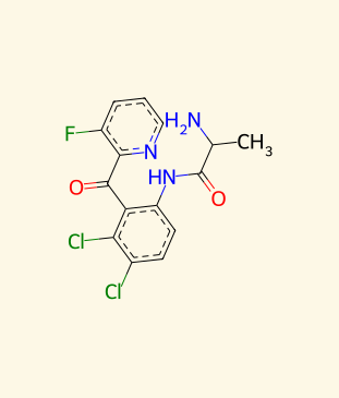 CC(N)C(=O)Nc1ccc(Cl)c(Cl)c1C(=O)c1ncccc1F